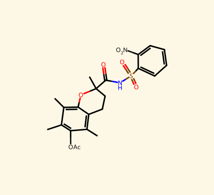 CC(=O)Oc1c(C)c(C)c2c(c1C)CCC(C)(C(=O)NS(=O)(=O)c1ccccc1[N+](=O)[O-])O2